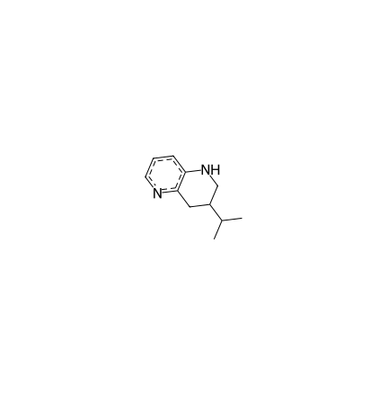 CC(C)C1CNc2cccnc2C1